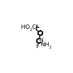 CC(C)(Cc1cccc(-c2ccc(F)c(N)n2)c1)C(=O)O